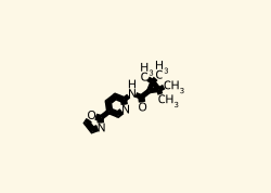 CC1(C)C(C(=O)Nc2ccc(-c3ncco3)cn2)C1(C)C